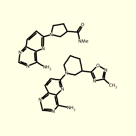 CNC(=O)C1CCN(c2ccc3ncnc(N)c3n2)C1.Cc1noc(C2CCCN(c3ccc4ncnc(N)c4n3)C2)n1